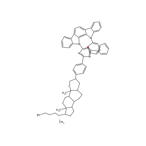 CC(C)CCC[C@@H](C)C1CCC2C3CCC4CC(c5ccc(-c6nc(-c7ccccc7)nc(-n7c8ccccc8c8ccc9c%10ccccc%10n(-c%10ccccc%10)c9c87)n6)cc5)CCC4(C)C3CCC21C